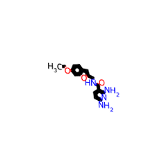 CCOc1ccc2cc(CNC(=O)c3ccc(N)nc3N)oc2c1